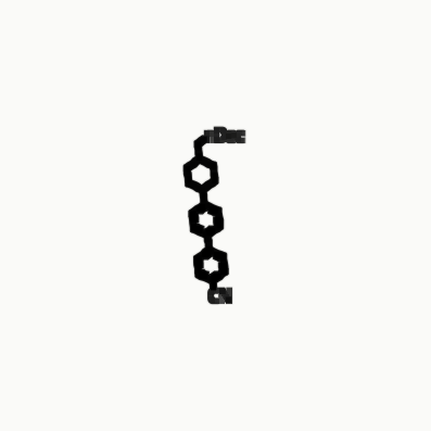 CCCCCCCCCCCC1CCC(c2ccc(-c3ccc(C#N)cc3)cc2)CC1